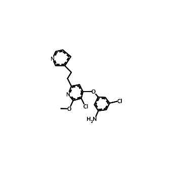 COc1nc(CCc2cccnc2)cc(Oc2cc(N)cc(Cl)c2)c1Cl